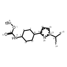 CC(C)(C)OC(=O)NC1CCC(c2ccn(C(F)F)n2)CC1